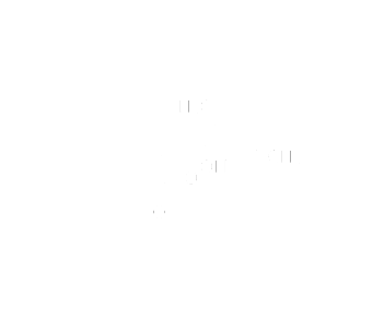 CC1=CC(C)CC1(O)c1ccccc1C1(c2ccccc2)OCCO1